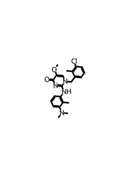 COc1cn(Cc2cccc(Cl)c2C)c(Nc2cccc(N(C)C)c2C)nc1=O